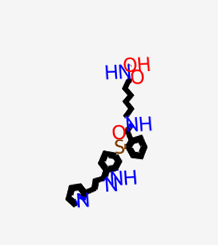 O=C(CCCCCNC(=O)c1ccccc1Sc1ccc2c(C=Cc3ccccn3)n[nH]c2c1)NO